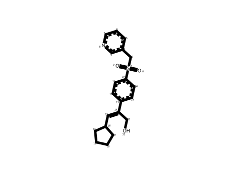 O=S(=O)(Cc1cccnc1)c1ccc(C(=CC2CCCC2)CO)cc1